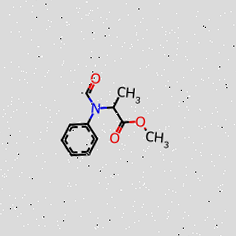 COC(=O)C(C)N([C]=O)c1ccccc1